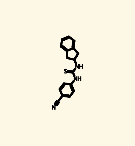 N#Cc1ccc(NC(=S)NC2Cc3ccccc3C2)cc1